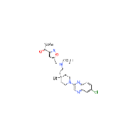 CCC1(CCN(Cc2cc(C(=O)NC)no2)C(=O)O)CCN(c2cnc3cc(Cl)ccc3n2)CC1